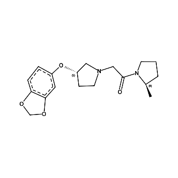 C[C@@H]1CCCN1C(=O)CN1CC[C@H](Oc2ccc3c(c2)OCO3)C1